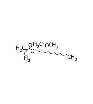 C=C(C)C(=O)OCCCCCCCCCCCC.C=COC